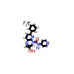 O=C(Nc1ccncc1)N1c2nc(-c3cccc(C(F)(F)F)c3)ccc2N2CC(O)C1C2